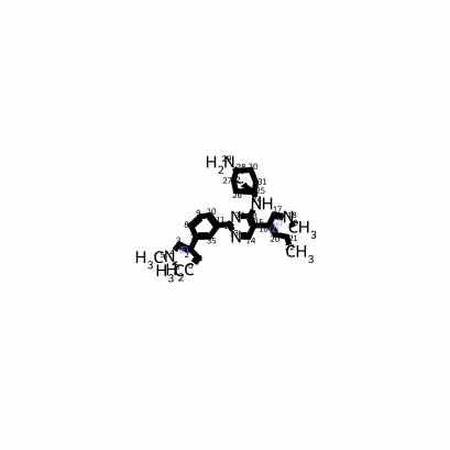 C=C/C(=C\N(C)C)c1cccc(-c2ncc(C(/C=N\C)=C/CC)c(NC34CCC(N)(CC3)CC4)n2)c1